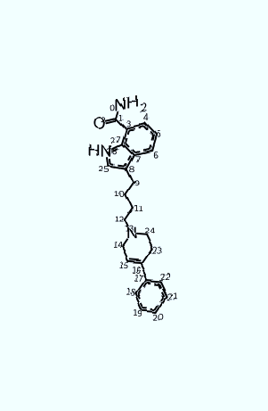 NC(=O)c1cccc2c(CCCCN3CC=C(c4ccccc4)CC3)c[nH]c12